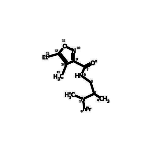 CCCN(C)C(C)CNC(=O)c1noc(CC)c1C